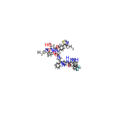 Cc1cc(C(C(=O)N2C[C@H](O)C[C@H]2C(=O)N[C@@H](CC(=O)N2CC([C@H](c3ccccc3)n3cc(NC(=O)c4n[nH]c5c4C[C@H]4C(F)(F)[C@@]4(C)C5)cn3)C2)c2ccc(-c3scnc3C)cc2)C(C)C)on1